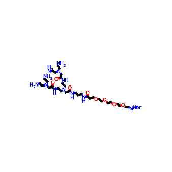 [N-]=[N+]=NCCOCCOCCOCCOCCC(=O)NCCCNC(=O)CN(CCNC(=O)CN(CCN)CCN)CCNC(=O)CN(CCN)CCN